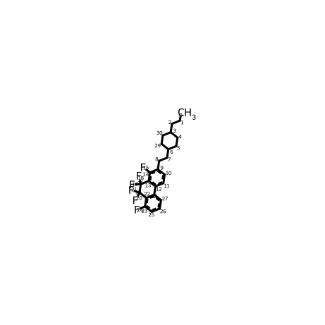 CCCC1CCC(CCc2ccc3c(c2F)C(F)(F)C(F)(F)c2c(F)cccc2-3)CC1